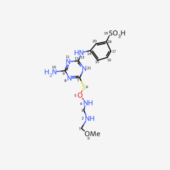 COCNCNOSc1nc(N)nc(Nc2cccc(S(=O)(=O)O)c2)n1